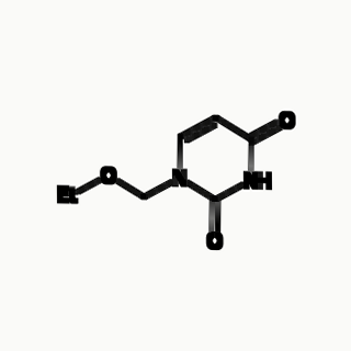 CCOCn1ccc(=O)[nH]c1=O